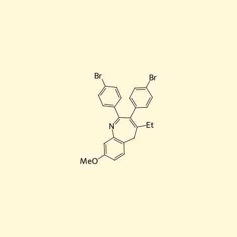 CCC1=C(c2ccc(Br)cc2)C(c2ccc(Br)cc2)=Nc2cc(OC)ccc2C1